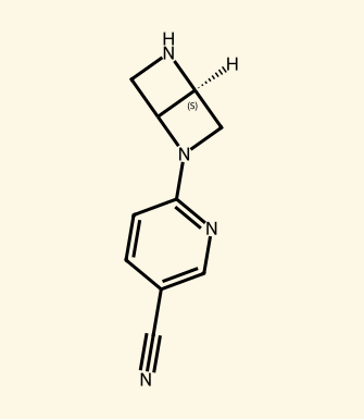 N#Cc1ccc(N2C[C@@H]3NCC32)nc1